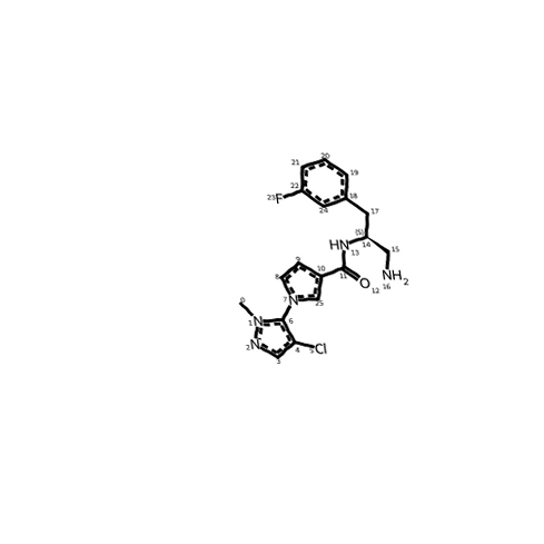 Cn1ncc(Cl)c1-n1ccc(C(=O)N[C@H](CN)Cc2cccc(F)c2)c1